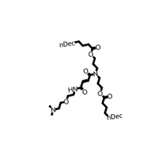 CCCCCCCCCCCCCC(=O)OCCCN(CCCOC(=O)CCCCCCCCCCCCC)C(=O)C=CC(=O)NCCOCCN(C)C